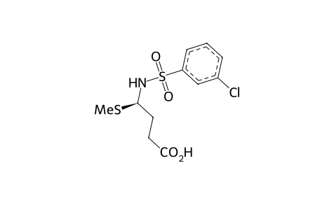 CS[C@H](CCC(=O)O)NS(=O)(=O)c1cccc(Cl)c1